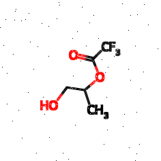 CC(CO)OC(=O)C(F)(F)F